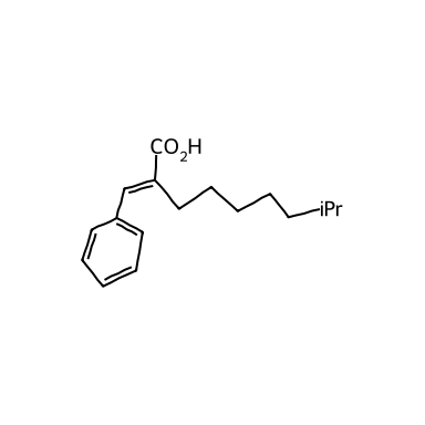 CC(C)CCCCCC(=Cc1ccccc1)C(=O)O